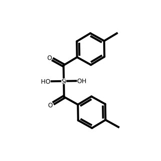 Cc1ccc(C(=O)[Si](O)(O)C(=O)c2ccc(C)cc2)cc1